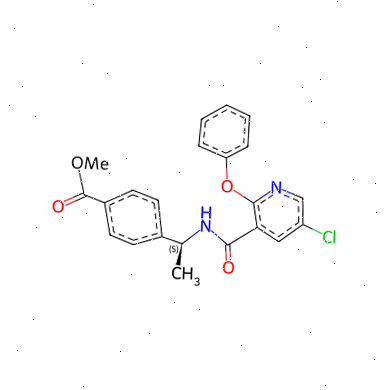 COC(=O)c1ccc([C@H](C)NC(=O)c2cc(Cl)cnc2Oc2ccccc2)cc1